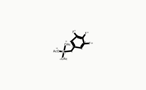 CC(=O)O[Si](Cc1cc(F)c(F)c(F)c1)(OC(C)=O)OC(C)=O